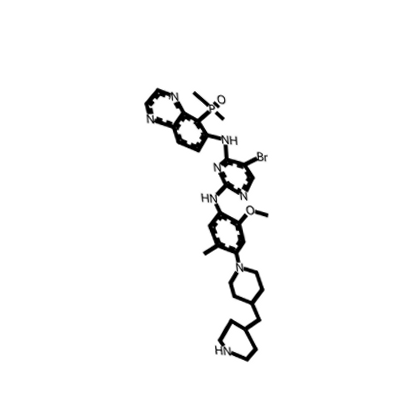 COc1cc(N2CCC(CC3CCNCC3)CC2)c(C)cc1Nc1ncc(Br)c(Nc2ccc3nccnc3c2P(C)(C)=O)n1